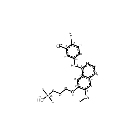 COc1cc2ncnc(Nc3ccc(F)c(Cl)c3)c2cc1OCCC[Si](C)(C)O